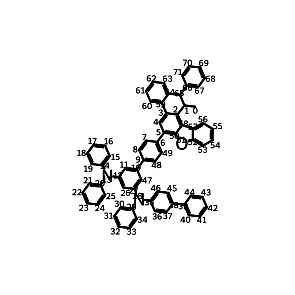 CC1c2c(cc(-c3ccc(-c4cc(N(c5ccccc5)c5ccccc5)cc(N(c5ccccc5)c5ccc(-c6ccccc6)cc5)c4)cc3)c3oc4ccccc4c23)-c2ccccc2C1c1ccccc1